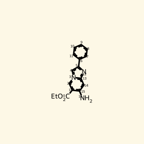 CCOC(=O)c1cn2cc(-c3ccccc3)nc2cc1N